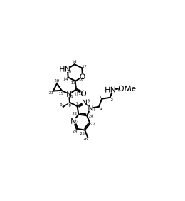 CONCCCn1nc([C@@H](C)N(C(=O)[C@H]2CNCCO2)C2CC2)c2ncc(C)cc21